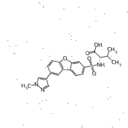 CC(C)[C@H](NS(=O)(=O)c1ccc2c(c1)oc1ccc(-c3cnn(C)c3)cc12)C(=O)O